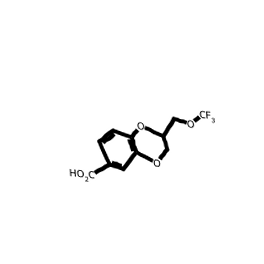 O=C(O)c1ccc2c(c1)OCC(COC(F)(F)F)O2